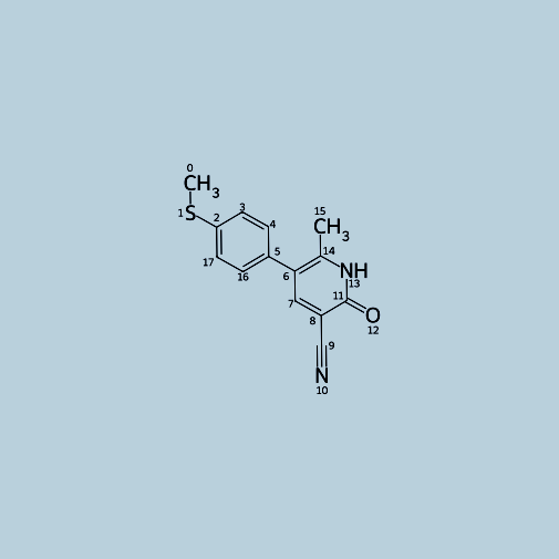 CSc1ccc(-c2cc(C#N)c(=O)[nH]c2C)cc1